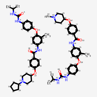 CCC(CC)NC(=O)Nc1ccc(Oc2ccc(NC(=O)c3ccc(OC4CCN(C5CCCC5)CC4)cc3)cc2C)cc1.CCCN1CCC(Oc2ccc(C(=O)Nc3ccc(Oc4ccc(NC(=O)NC(CC)CC)cc4)c(C)c3)cc2)CC1